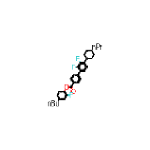 CCCCc1ccc(OC(=O)c2ccc(-c3ccc(C4CCC(CCC)CC4)c(F)c3F)cc2)c(F)c1